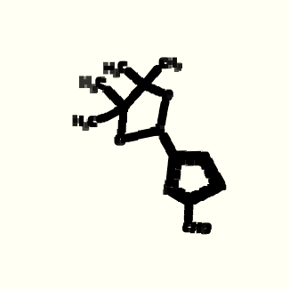 CC1(C)OB(c2ccc(C=O)s2)OC1(C)C